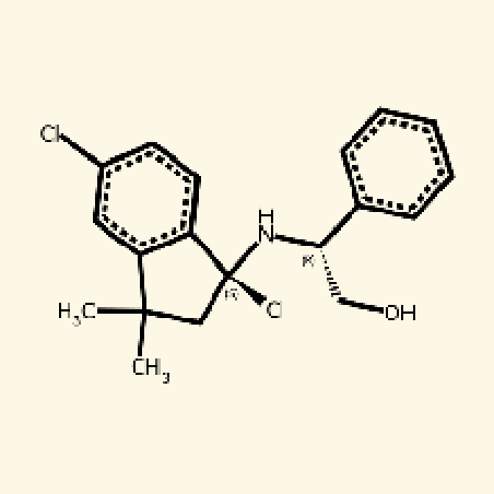 CC1(C)C[C@@](Cl)(N[C@@H](CO)c2ccccc2)c2ccc(Cl)cc21